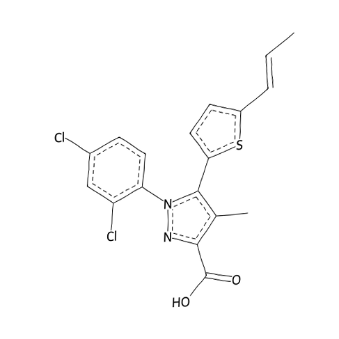 C/C=C/c1ccc(-c2c(C)c(C(=O)O)nn2-c2ccc(Cl)cc2Cl)s1